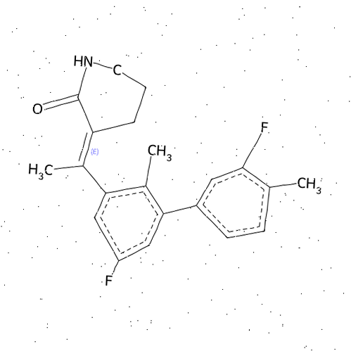 C/C(=C1/CCCNC1=O)c1cc(F)cc(-c2ccc(C)c(F)c2)c1C